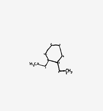 CCC1[CH]CCCC1CC